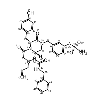 C=CCN1CC(=O)N2[C@@H](Cc3ccc(O)cc3)C(=O)N(Cc3cccc(NS(N)(=O)=O)c3)C[C@@H]2N1C(=O)NCc1ccccc1